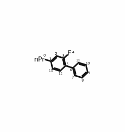 CCCc1[c]c(F)c(-c2ccccc2)cc1